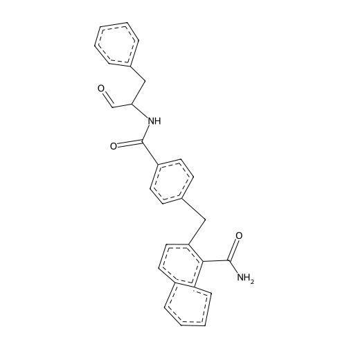 NC(=O)c1c(Cc2ccc(C(=O)NC(C=O)Cc3ccccc3)cc2)ccc2ccccc12